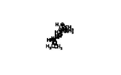 COCC(NC(=O)c1ccc2cc(-c3n[nH]c4c3CCC(C)(C)C4)[nH]c2c1)C(C)C